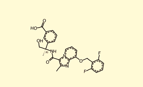 Cc1nc2c(OCc3c(F)cccc3F)cccn2c1C(=O)N[C@@](C)(CO)c1cccc(C(=O)O)c1